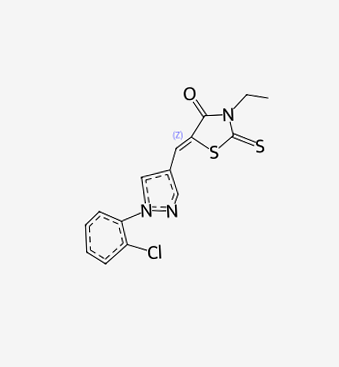 CCN1C(=O)/C(=C/c2cnn(-c3ccccc3Cl)c2)SC1=S